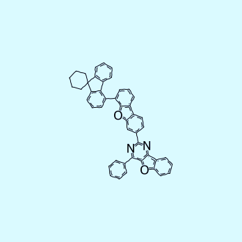 c1ccc(-c2nc(-c3ccc4c(c3)oc3c(-c5cccc6c5-c5ccccc5C65CCCCC5)cccc34)nc3c2oc2ccccc23)cc1